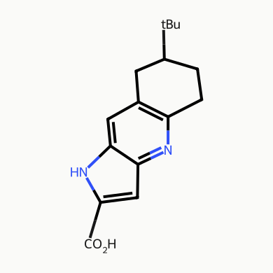 CC(C)(C)C1CCc2nc3cc(C(=O)O)[nH]c3cc2C1